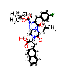 C=CC[C@@H]1C(=O)N([C@@H](Cc2ccc3ccccc3c2)C(=O)O)CCN1C(=O)C(Cc1ccc(F)cc1)NC(=O)OC(C)(C)C